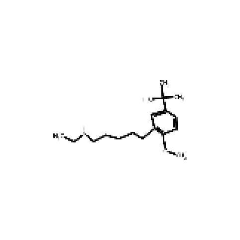 CCNCCCCCc1cc(C(C)(C)C)ccc1OC